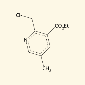 CCOC(=O)c1cc(C)cnc1CCl